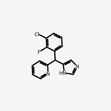 Fc1c(Cl)cccc1C(c1ccccn1)c1cnc[nH]1